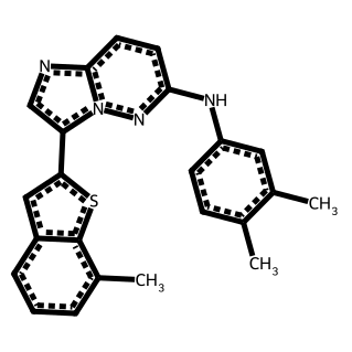 Cc1ccc(Nc2ccc3ncc(-c4cc5cccc(C)c5s4)n3n2)cc1C